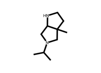 CC(C)N1CC2NCCC2(C)C1